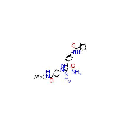 CONC(=O)C1CCC(n2nc(-c3ccc(CNC(=O)c4ccccc4C)cc3)c(C(N)=O)c2N)CC1